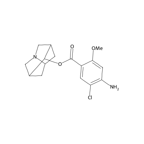 COc1cc(N)c(Cl)cc1C(=O)OC1C2CC3CC1CN3C2